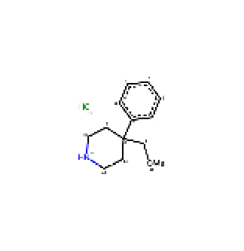 COCC1(c2ccccc2)CCNCC1.Cl